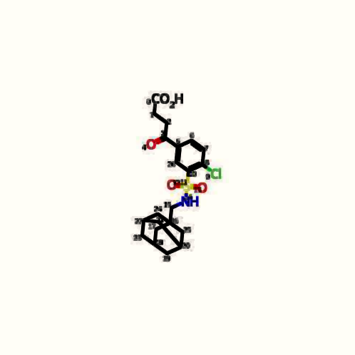 O=C(O)CCC(=O)c1ccc(Cl)c(S(=O)(=O)NCC23CC4CC(CC(C4)C2)C3)c1